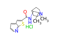 CC1(C)C(NC(=O)c2cc3cccnc3s2)C2CCN1CC2.Cl